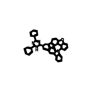 C1=CC(C2N=C(c3ccccc3)N=C(c3ccccc3)N2)Cc2c1sc1c2ccc2oc3cccc(-n4c5ccccc5c5ccccc54)c3c21